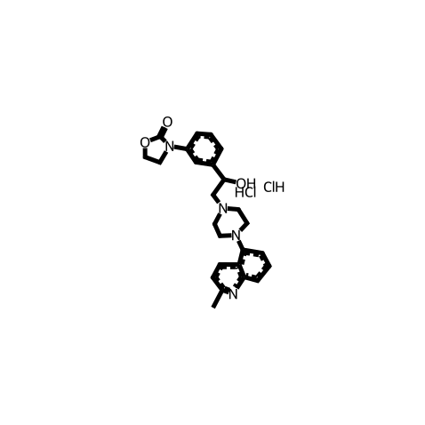 Cc1ccc2c(N3CCN(CC(O)c4cccc(N5CCOC5=O)c4)CC3)cccc2n1.Cl.Cl